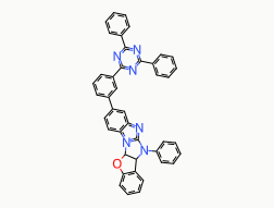 c1ccc(-c2nc(-c3ccccc3)nc(-c3cccc(-c4ccc5c(c4)nc4n5C5Oc6ccccc6C5N4c4ccccc4)c3)n2)cc1